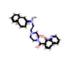 CCCN(CCN1CCN(C(=O)c2ccc3cccnc3c2O)CC1)C1CCc2ccccc2C1